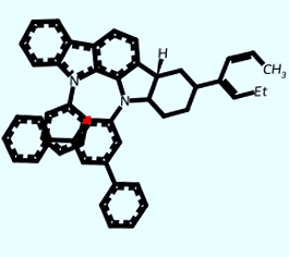 C/C=C\C(=C/CC)C1CCC2[C@@H](C1)c1ccc3c4ccccc4n(-c4ccccc4)c3c1N2c1cc(-c2ccccc2)cc(-c2ccccc2)c1